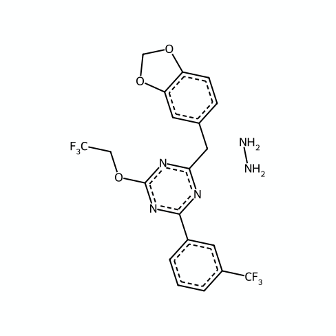 FC(F)(F)COc1nc(Cc2ccc3c(c2)OCO3)nc(-c2cccc(C(F)(F)F)c2)n1.NN